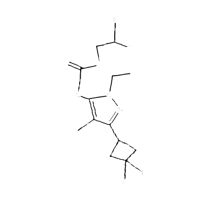 Cc1c(C2CC(F)(F)C2)nn(CC(F)(F)F)c1NC(=O)OCC(F)F